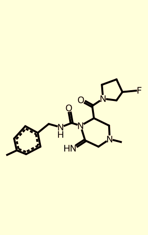 Cc1ccc(CNC(=O)N2C(=N)CN(C)CC2C(=O)N2CCC(F)C2)cc1